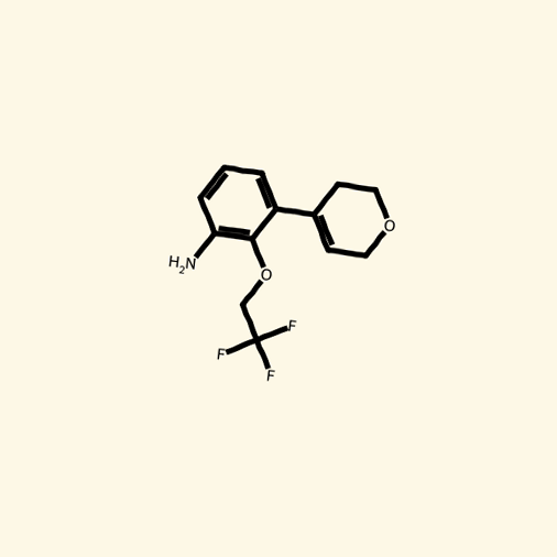 Nc1cccc(C2=CCOCC2)c1OCC(F)(F)F